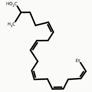 CC/C=C\C/C=C\C/C=C\C/C=C\C/C=C\CCC(C)C(=O)O